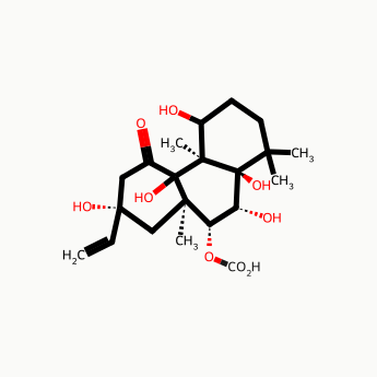 C=C[C@@]1(O)CC(=O)C2(O)[C@](C)(C1)[C@@H](OC(=O)O)[C@@H](O)[C@@]1(O)C(C)(C)CCC(O)[C@]21C